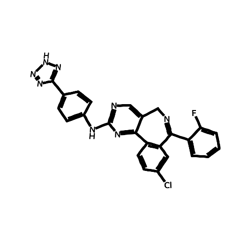 Fc1ccccc1C1=NCc2cnc(Nc3ccc(-c4nn[nH]n4)cc3)nc2-c2ccc(Cl)cc21